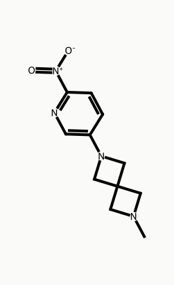 CN1CC2(C1)CN(c1ccc([N+](=O)[O-])nc1)C2